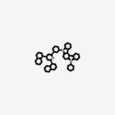 c1ccc(-n2c3ccccc3c3c4c5ccccc5n(-c5cccc(-c6cc(-c7cccc8ccccc78)cc(-c7cccc8ccccc78)n6)c5)c4ccc32)cc1